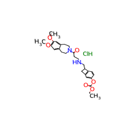 CCOC(=O)Oc1ccc2c(c1)CC2CNCCC(=O)N1CCc2cc(OC)c(OC)cc2CC1.Cl